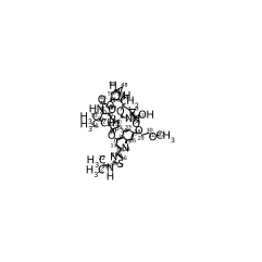 C=CC1C[C@]1(NC(=O)[C@@H]1C[C@@H](Oc2cc(-c3csc(NC(C)C)n3)nc3cc(OCCOC)ccc23)CN1C(=O)C(NC(=O)O[C@@H]1C[C@@H]2C[C@@H]2C1)C(C)(C)C)C(=O)O